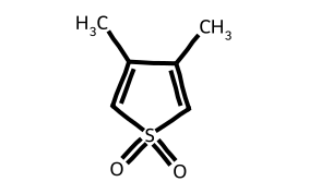 CC1=CS(=O)(=O)C=C1C